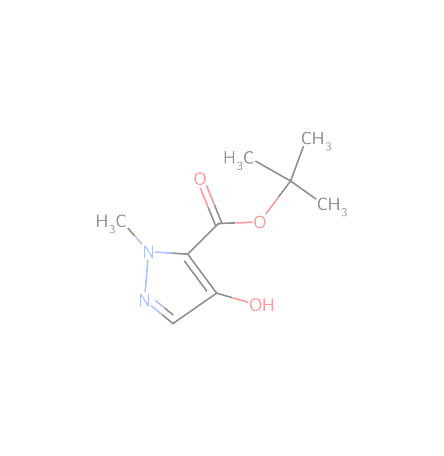 Cn1ncc(O)c1C(=O)OC(C)(C)C